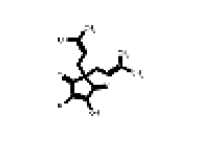 CC(C)=CCC1(CC=C(C)C)C(=O)C(O)=C(O)C1=O